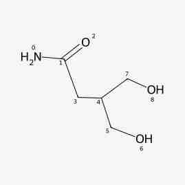 NC(=O)CC(CO)CO